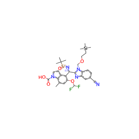 Cc1cc(OC(F)F)c(/C(=N\[S+]([O-])C(C)(C)C)c2nc3cc(C#N)ccc3n2COCC[Si](C)(C)C)c2ccn(C(=O)O)c12